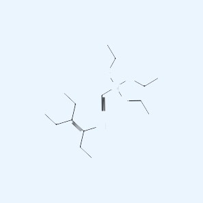 C=C[Si](OCC)(OCC)OCC.CCC([SiH3])=C(CC)CC